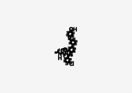 CC(C)NC(=O)Cn1c(-c2cccc(Cl)c2)nc2ccc(-c3cccc(CN4CCC(O)CC4)c3)cc2c1=O